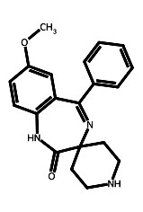 COc1ccc2c(c1)C(c1ccccc1)=NC1(CCNCC1)C(=O)N2